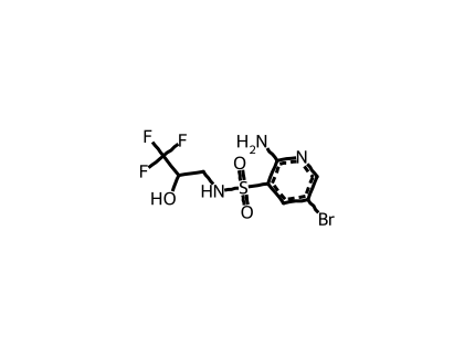 Nc1ncc(Br)cc1S(=O)(=O)NCC(O)C(F)(F)F